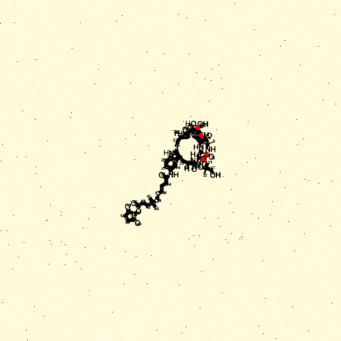 CC(O)[C@H]1NC(=O)[C@H](C)NC(=O)[C@H](C[C@@](C)(O)CO)NC(=O)[C@@H]2Cc3c([nH]c4ccc(NC(=O)CCCSSC(C)(C)CCC(=O)ON5C(=O)CCC5=O)cc34)SC[C@@H](NC1=O)C(=O)N1C[C@H](O)C[C@H]1C(=O)N[C@@H](C)C(=O)N2